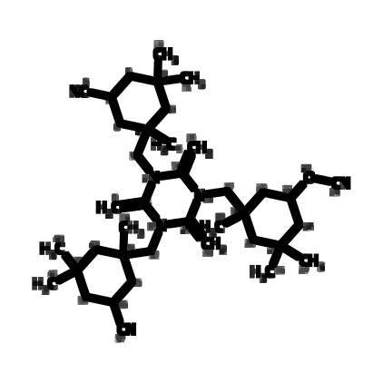 C=C1N(CC2(C)CC(C#N)CC(C)(C)C2)C(=C)N(CC2(C)CC(OC#N)CC(C)(C)C2)C(=C)N1CC1(C)CC(C#N)CC(C)(C)C1